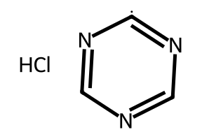 Cl.[c]1ncncn1